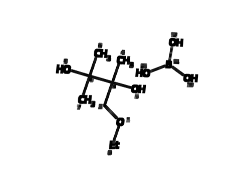 CCOCC(C)(O)C(C)(C)O.OB(O)O